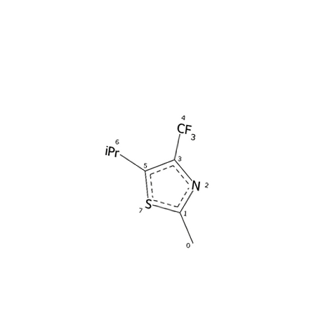 Cc1nc(C(F)(F)F)c(C(C)C)s1